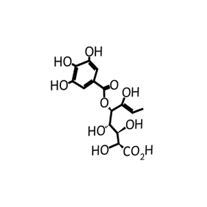 C/C=C(\O)[C@H](OC(=O)c1cc(O)c(O)c(O)c1)[C@@H](O)[C@@H](O)[C@H](O)C(=O)O